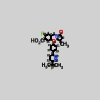 CC1CC(=O)N(Cc2cc(F)c(C(=O)O)cc2Oc2ccc(-c3ccc(C(C)(C)F)nn3)cc2)C1